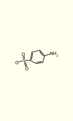 Nc1ccc(S([O])(=O)=O)cc1